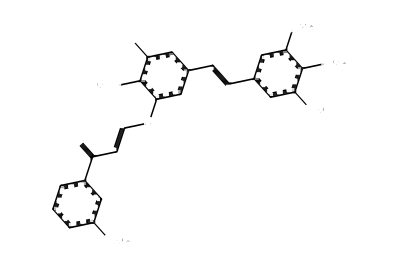 COc1cccc(C(=O)C=CNc2cc(C=Cc3cc(OC)c(OC)c(OC)c3)cc(F)c2OC)c1